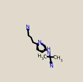 CC(C)(C#N)Nc1ccc(CCCC#N)nc1